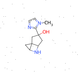 Cn1ccnc1C1(O)CC2NC3CC23C1